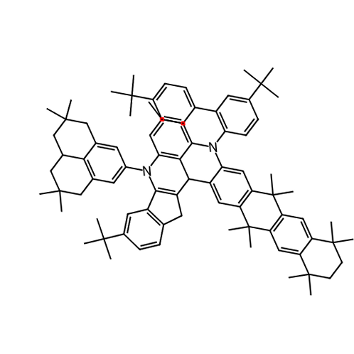 Cc1cc2c3c(c1)N(c1ccc(C(C)(C)C)cc1-c1ccc(C(C)(C)C)cc1)c1cc4c(cc1C3C1=C(c3cc(C(C)(C)C)ccc3C1)N2c1cc2c3c(c1)CC(C)(C)CC3CC(C)(C)C2)C(C)(C)c1cc2c(cc1C4(C)C)C(C)(C)CCC2(C)C